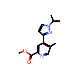 COC(=O)c1cc(-c2ccn(C(C)C)n2)c(C)cn1